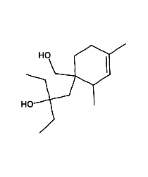 CCC(O)(CC)CC1(CO)CCC(C)=CC1C